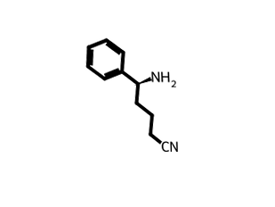 N#CCCC[C@H](N)c1ccccc1